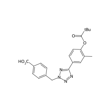 Cc1cc(-c2nnn(Cc3ccc(C(=O)O)cc3)n2)ccc1OC(=O)C(C)(C)C